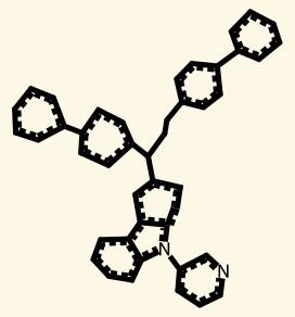 c1ccc(-c2ccc(CCC(c3ccc(-c4ccccc4)cc3)c3ccc4c(c3)c3ccccc3n4-c3cccnc3)cc2)cc1